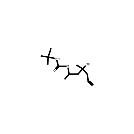 C=CCC(C)(O)CC(C)OC(=O)NC(C)(C)C